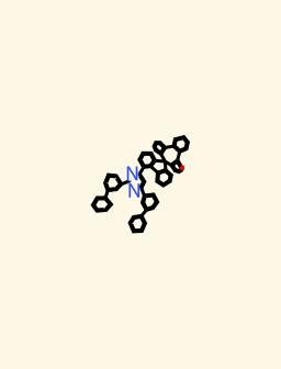 c1ccc(-c2cccc(-c3cc(-c4cccc5c4-c4ccccc4C54c5ccccc5-c5ccccc5-c5ccccc54)nc(-c4cccc(-c5ccccc5)c4)n3)c2)cc1